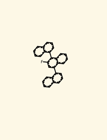 Fc1cc(-c2cccc3ccccc23)c2ccccc2c1-c1cccc2ccccc12